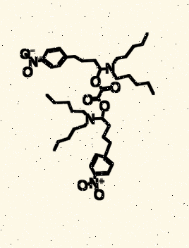 CCCCCN(CCCCC)C(CCCc1ccc([N+](=O)[O-])cc1)OC(=O)C(=O)OC(CCCc1ccc([N+](=O)[O-])cc1)N(CCCCC)CCCCC